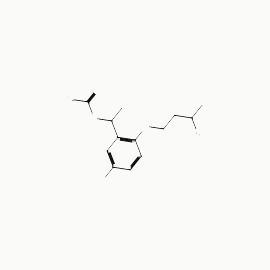 CC(N)CCOc1ccc(F)cc1C(C)OC(N)=O